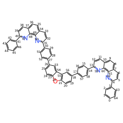 c1ccc(-c2ccc3ccc4ccc(-c5ccc(-c6ccc7oc8ccc(-c9ccc(-c%10ccc%11ccc%12ccc(-c%13ccccc%13)nc%12c%11n%10)cc9)cc8c7c6)cc5)nc4c3n2)cc1